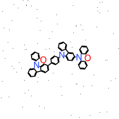 c1ccc2c(c1)Oc1ccccc1N2c1ccc2c(c1)c1ccccc1n2-c1ccc(-c2ccc3c4ccccc4n4c3c2Oc2ccccc2-4)cc1